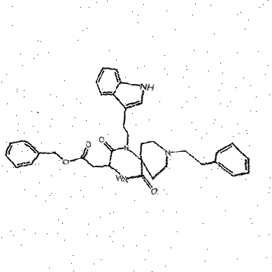 O=C(CC1NC(=O)C2(CCN(CCc3ccccc3)CC2)N(CCc2c[nH]c3ccccc23)C1=O)OCc1ccccc1